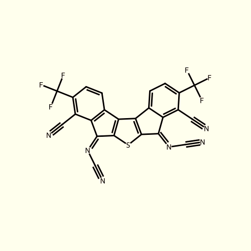 N#C/N=c1\c2sc3/c(=N/C#N)c4c(C#N)c(C(F)(F)F)ccc4c3c2c2ccc(C(F)(F)F)c(C#N)c12